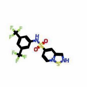 O=S(=O)(Nc1cc(C(F)(F)F)cc(C(F)(F)F)c1)C1=CC2=CNSN2C=C1